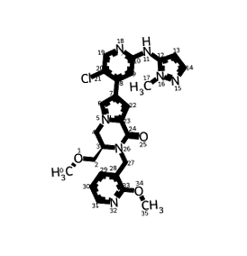 COC[C@H]1Cn2cc(-c3cc(Nc4ccnn4C)ncc3Cl)cc2C(=O)N1Cc1cccnc1OC